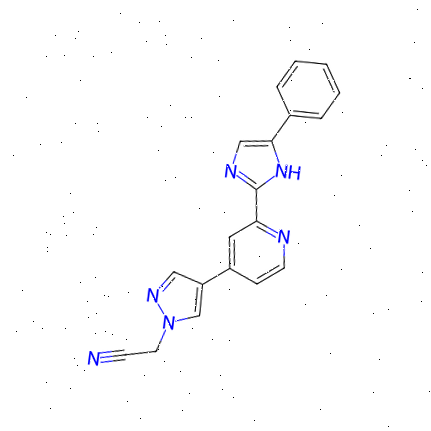 N#CCn1cc(-c2ccnc(-c3ncc(-c4ccccc4)[nH]3)c2)cn1